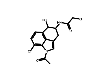 CC(=O)n1cc2c3c(ccc(Cl)c31)C(O)C(NC(=O)CCl)C2